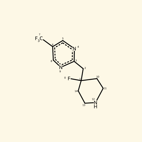 FC1(Cc2ncc(C(F)(F)F)cn2)CCNCC1